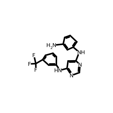 Nc1cccc(Nc2cc(Nc3cccc(C(F)(F)F)c3)ncn2)c1